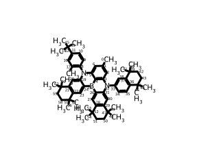 Cc1cc2c3c(c1)N(c1ccc(C(C)(C)C)cc1C)c1cc4c(cc1B3c1cc3c(cc1N2c1ccc2c(c1)C(C)(C)CCC2(C)C)C(C)(C)CCC3(C)C)C(C)(C)CCC4(C)C